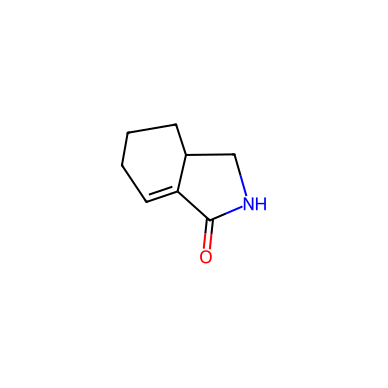 O=C1NCC2CCCC=C12